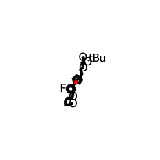 CC(C)(C)OC(=O)COCCC12CCC(c3cc(F)cc(OC4CCCCO4)c3)(CC1)OC2